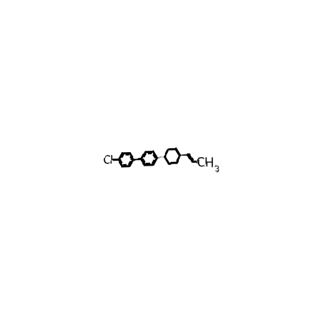 CC=C[C@H]1CC[C@H](c2ccc(-c3ccc(Cl)cc3)cc2)CC1